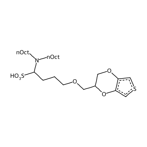 CCCCCCCCN(CCCCCCCC)C(CCCOCC1COc2cscc2O1)S(=O)(=O)O